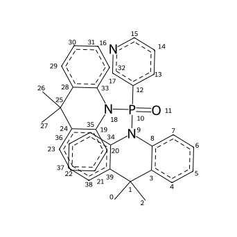 CC1(C)c2ccccc2N(P(=O)(c2cccnc2)N2c3ccccc3C(C)(C)c3ccccc32)c2ccccc21